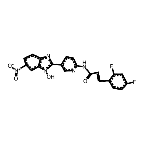 O=C(/C=C/c1ccc(F)cc1F)Nc1ccc(-c2nc3ccc([N+](=O)[O-])cc3n2O)cn1